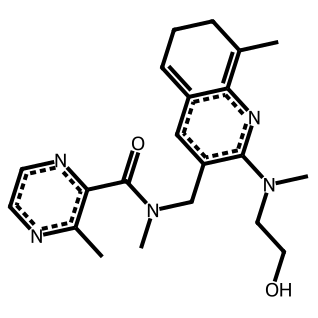 CC1=c2nc(N(C)CCO)c(CN(C)C(=O)c3nccnc3C)cc2=CCC1